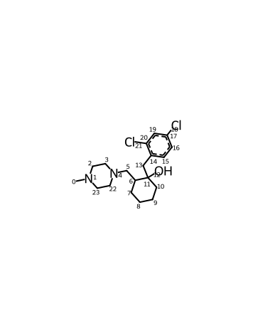 CN1CCN(CC2CCCCC2(O)Cc2ccc(Cl)cc2Cl)CC1